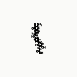 [2H]C([2H])(Nc1ccc(C(=O)N[C@@H](CCC(=O)O)C(=O)O)cc1)c1cnc2nc(N)[nH]c(=O)c2n1